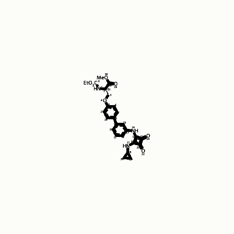 CCOC(=O)N[C@@H](COc1ccc(-c2cccc(Nc3c(NC4CC4)c(=O)c3=O)c2)cc1)C(=O)OC